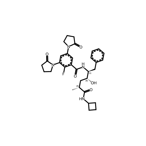 C[C@H](C[C@@H](O)[C@H](Cc1ccccc1)NC(=O)c1cc(N2CCCC2=O)cc(N2CCCC2=O)c1F)C(=O)NC1CCC1